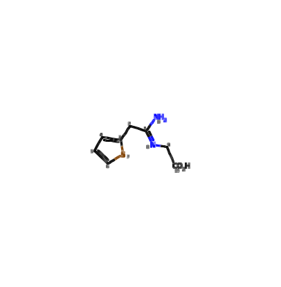 NC(Cc1cccs1)=NCC(=O)O